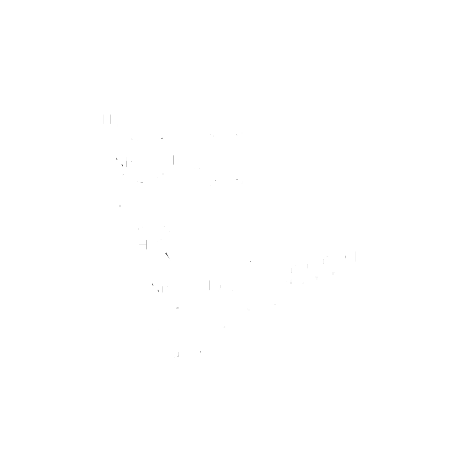 C[C@H]([Ni+2])CP(c1ccccc1)c1ccccc1.C[CH]([Ni+2])CP(c1ccccc1)c1ccccc1.[Cl-].[Cl-].[Cl-].[Cl-]